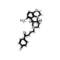 Cc1ccc2c3c1[C@H]1CN(CCCC(=O)c4ccc(F)cc4)CC[C@H]1N3CCO2